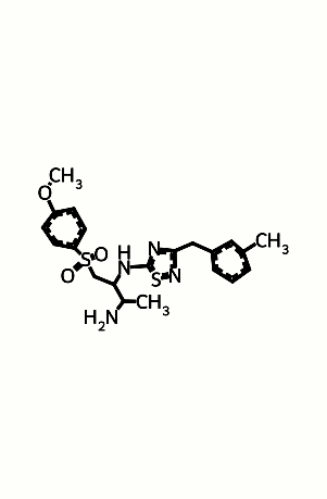 COc1ccc(S(=O)(=O)CC(Nc2nc(Cc3cccc(C)c3)ns2)C(C)N)cc1